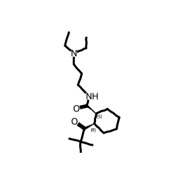 CCN(CC)CCCNC(=O)[C@H]1CCCC[C@H]1C(=O)C(C)(C)C